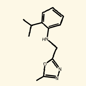 Cc1nnc(CNc2ccccc2C(C)C)o1